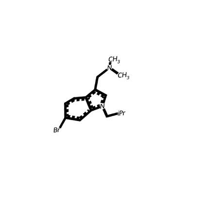 CC(C)Cn1cc(CN(C)C)c2ccc(Br)cc21